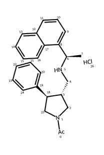 CC(=O)N1C[C@@H](CN[C@H](C)c2cccc3ccccc23)[C@H](c2ccccc2)C1.Cl